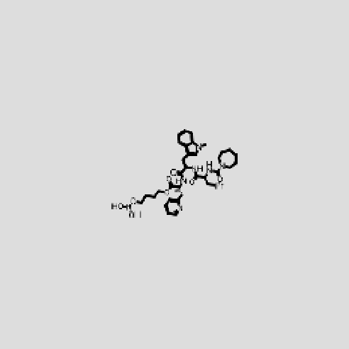 CC(C)CC(NC(=O)N1CCCCCC1)C(=O)NC(Cc1cn(C)c2ccccc12)C(=O)N[C@H](Cc1ccccn1)C(=O)OCCCCON(O)O